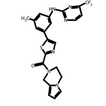 Cc1cc(Nc2nccc(C(F)(F)F)n2)cc(-c2cnc(C(=O)N3CCn4cccc4C3)s2)c1